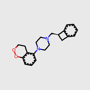 c1ccc2c(c1)C[C@H]2CN1CCN(c2cccc3c2CCOO3)CC1